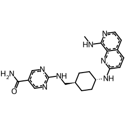 CNc1nccc2ccc(N[C@H]3CC[C@H](CNc4ncc(C(N)=O)cn4)CC3)nc12